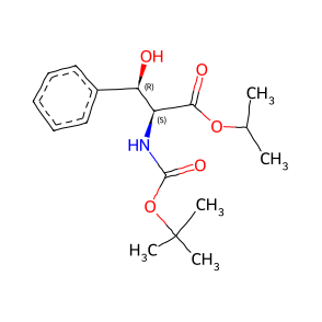 CC(C)OC(=O)[C@@H](NC(=O)OC(C)(C)C)[C@H](O)c1ccccc1